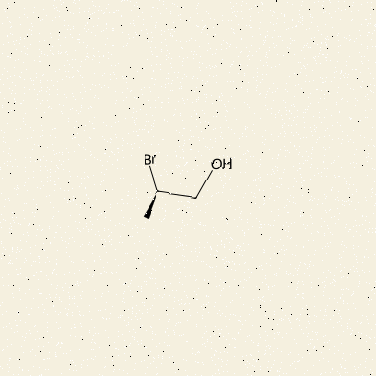 C[C@@H](Br)CO